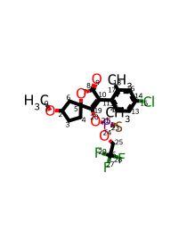 COC1CCC2(C1)OC(=O)C(c1ccc(Cl)cc1C)=C2OP(C)(=S)OCC(F)(F)F